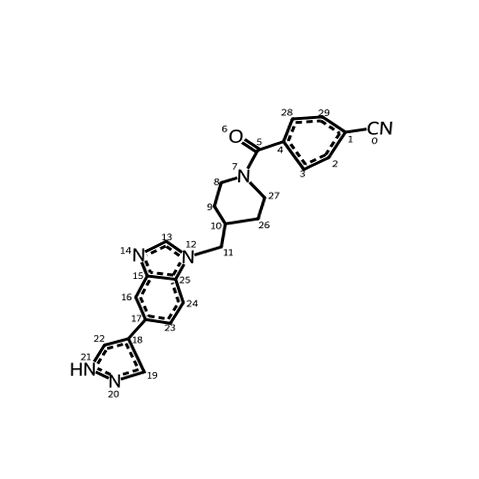 N#Cc1ccc(C(=O)N2CCC(Cn3cnc4cc(-c5cn[nH]c5)ccc43)CC2)cc1